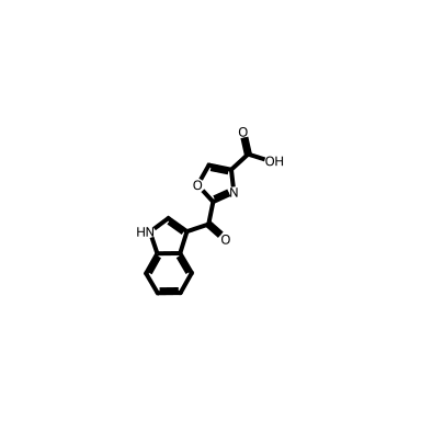 O=C(O)c1coc(C(=O)c2c[nH]c3ccccc23)n1